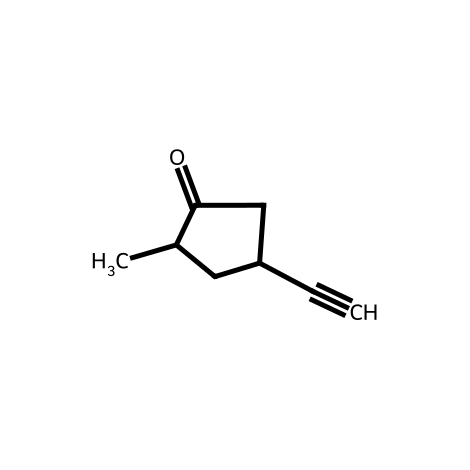 C#CC1CC(=O)C(C)C1